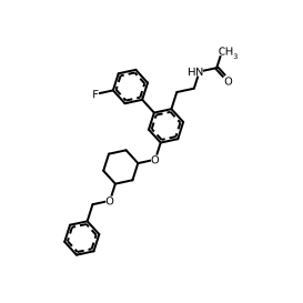 CC(=O)NCCc1ccc(OC2CCCC(OCc3ccccc3)C2)cc1-c1cccc(F)c1